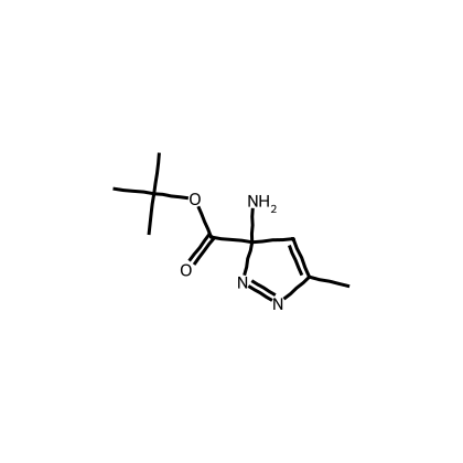 CC1=CC(N)(C(=O)OC(C)(C)C)N=N1